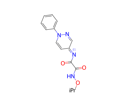 CC(C)ONC(=O)C(=O)/N=c1\ccn(-c2ccccc2)nc1